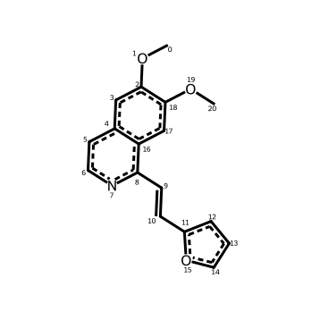 COc1cc2ccnc(C=Cc3ccco3)c2cc1OC